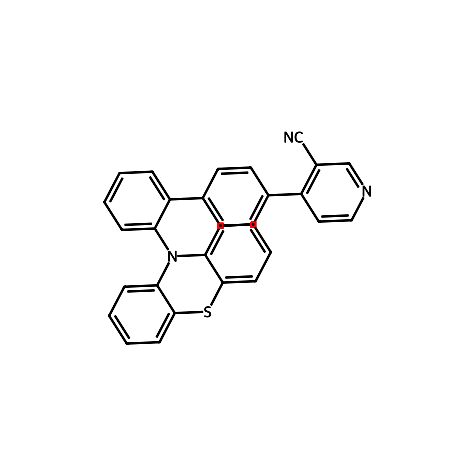 N#Cc1cnccc1-c1ccc(-c2ccccc2N2c3ccccc3Sc3ccccc32)cc1